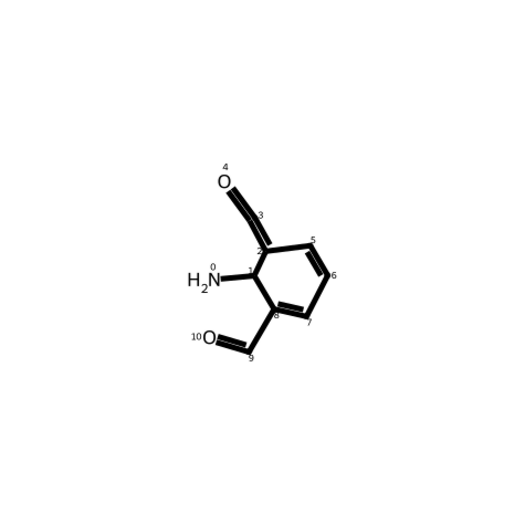 NC1C(=C=O)C=CC=C1C=O